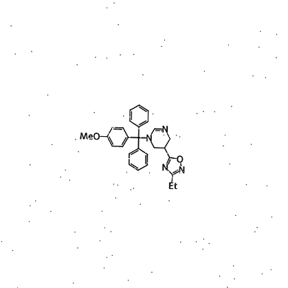 CCc1noc(C2CN=CN(C(c3ccccc3)(c3ccccc3)c3ccc(OC)cc3)C2)n1